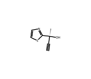 C#C[C@](C)(O)c1nccs1